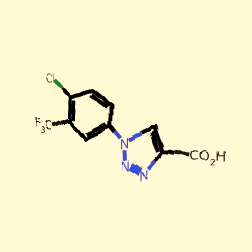 O=C(O)c1cn(-c2ccc(Cl)c(C(F)(F)F)c2)nn1